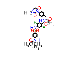 BC(=O)[C@H](Cc1ccc(-n2c(=O)ccn(C)c2=O)cc1)NC(=O)c1cc(F)c(NS(=O)(=O)c2ccc(NC(=O)C(C)(C)C)cc2)cc1F